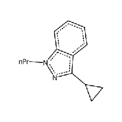 CCCn1nc(C2CC2)c2ccccc21